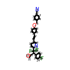 N#Cc1ccc(COc2ccc(C#Cc3ccc(C(F)(F)C(c4ccc(F)cc4F)C4CO4)nc3)cc2)cc1